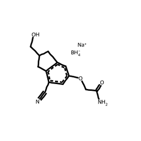 N#Cc1cc(OCC(N)=O)cc2c1CC(CO)C2.[BH4-].[Na+]